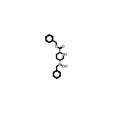 O=C(OCc1ccccc1)[C@@H]1CC[C@@H](N(O)Cc2ccccc2)CN1